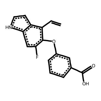 C=Cc1c(Oc2cccc(C(=O)O)c2)c(F)cc2[nH]ccc12